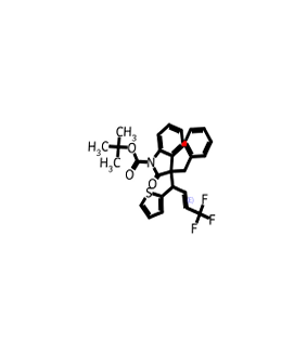 CC(C)(C)OC(=O)N1C(=O)C(Cc2ccccc2)(C(/C=C/C(F)(F)F)c2cccs2)c2ccccc21